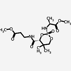 COC(=O)CCNC(=O)[C@@H]1O[P@](=O)(N[C@@H](C)C(=O)OC)OCC1(C)C